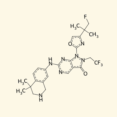 CC(C)(CF)c1coc(-n2c3nc(Nc4ccc5c(c4)CNCC5(C)C)ncc3c(=O)n2CC(F)(F)F)n1